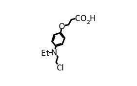 CCN(CCCl)c1ccc(OCCC(=O)O)cc1